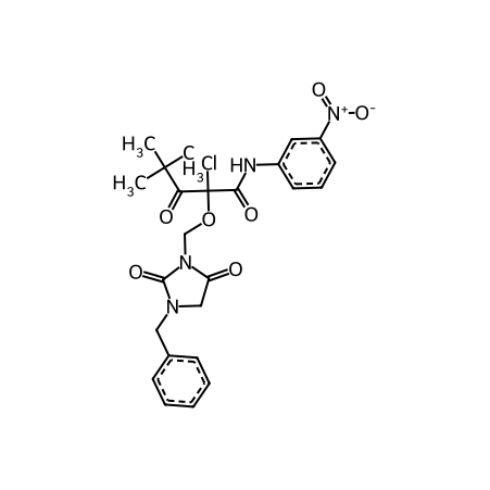 CC(C)(C)C(=O)C(Cl)(OCN1C(=O)CN(Cc2ccccc2)C1=O)C(=O)Nc1cccc([N+](=O)[O-])c1